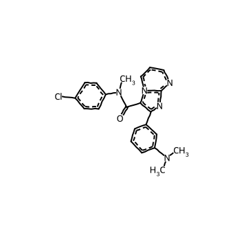 CN(C)c1cccc(-c2nc3ncccn3c2C(=O)N(C)c2ccc(Cl)cc2)c1